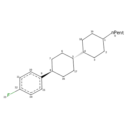 CCCCCC1CCC([C@H]2CC[C@H](c3ccc(F)cc3)CC2)CC1